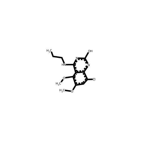 CCCNc1nc(O)nc2c(Cl)cc(OC)c(OC)c12